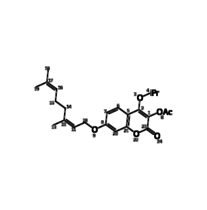 CC(=O)Oc1c(OC(C)C)c2ccc(OCC=C(C)CCC=C(C)C)cc2oc1=O